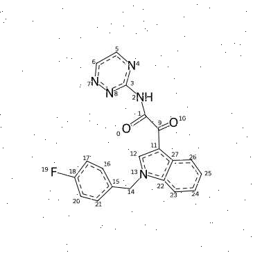 O=C(Nc1nccnn1)C(=O)c1cn(Cc2ccc(F)cc2)c2ccccc12